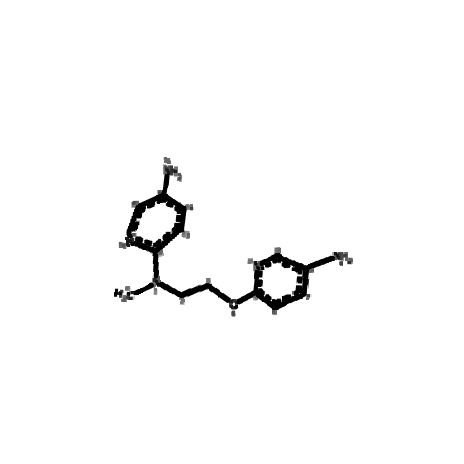 CN(CCOc1ccc(N)cn1)c1ccc(N)cn1